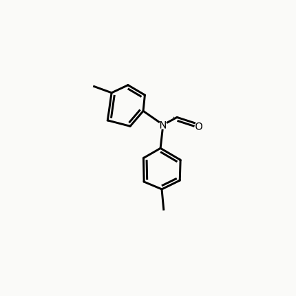 Cc1ccc(N([C]=O)c2ccc(C)cc2)cc1